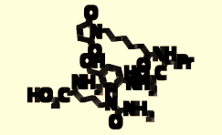 CC(C)C(NC(=O)CCCCCN1C(=O)C=CC1=O)C(=O)O.NC(=O)NCCCC(N)C(=O)O.Nc1ccc(CO)cc1